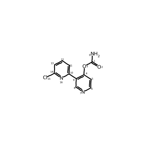 NC(=O)Oc1ccncc1-c1cccc(Cl)n1